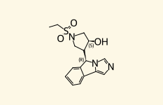 CCS(=O)(=O)N1CC([C@@H]2c3ccccc3-c3cncn32)[C@H](O)C1